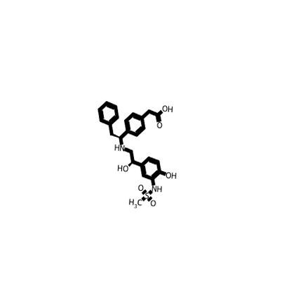 CS(=O)(=O)Nc1cc([C@@H](O)CN[C@@H](Cc2ccccc2)c2ccc(CC(=O)O)cc2)ccc1O